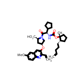 C=CCCC[C@H]1CCC[C@@]1(C)OC(=O)N[C@H](C(=O)N1C[C@H](Oc2cc3cc(OC)ccc3nc2C=C)C[C@H]1C(=O)O)C1CCCC1